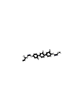 C=CC(=O)O/C=C\Oc1ccc(-c2ccc(-c3ccc(O/C=C\OC)c(F)c3)c(F)c2)c(F)c1